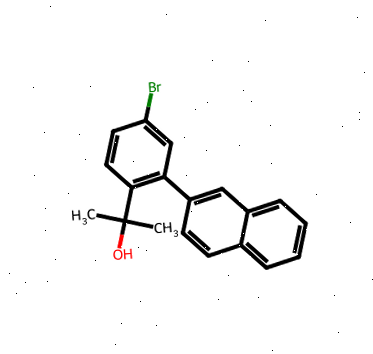 CC(C)(O)c1ccc(Br)cc1-c1ccc2ccccc2c1